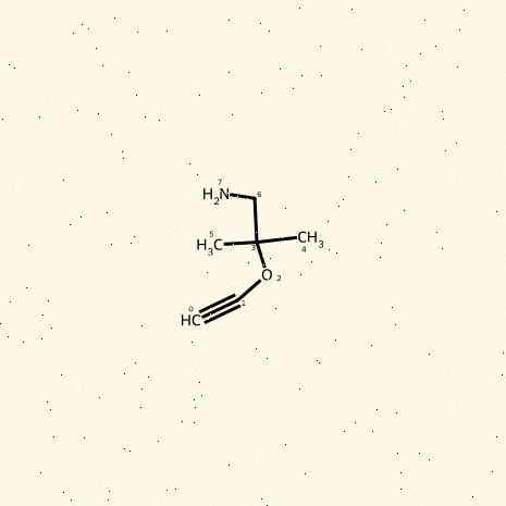 C#COC(C)(C)CN